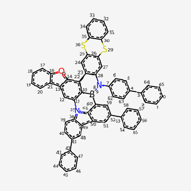 c1ccc(-c2ccc(N3B4c5c(cc6c(oc7ccccc76)c5-c5cc6c(cc53)Sc3ccccc3S6)-n3c5ccc(-c6ccccc6)cc5c5cc(-c6ccccc6)cc4c53)cc2)cc1